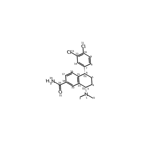 CN(C)[C@H]1CC[C@@H](c2ccc(Cl)c(Cl)c2)c2ccc(C(N)=O)cc21